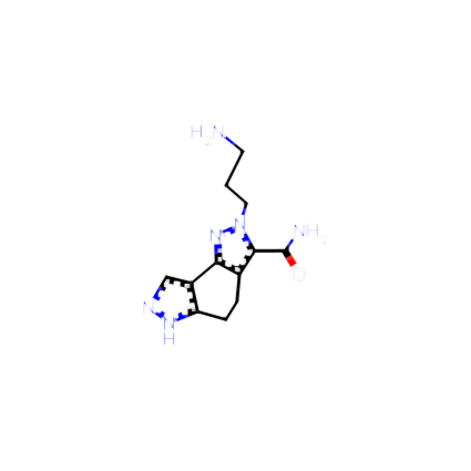 NCCCn1nc2c(c1C(N)=O)CCc1[nH]ncc1-2